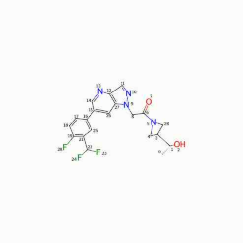 C[C@@H](O)C1CN(C(=O)Cn2ncc3ncc(-c4ccc(F)c(C(F)F)c4)cc32)C1